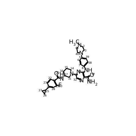 CN1CCN(c2ccc(Nc3nc(N4CCC[C@@H](NC(=O)c5ccc(C6CC6)cc5F)C4)cnc3C(N)=O)cc2)CC1